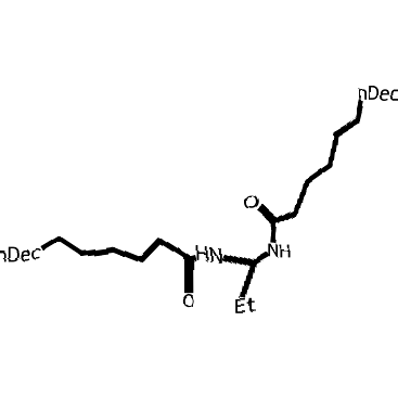 [CH2]CC(NC(=O)CCCCCCCCCCCCCCC)NC(=O)CCCCCCCCCCCCCCC